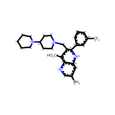 Bc1cnc2c(C(=O)O)c(CN3CCC(N4CCCCC4)CC3)c(-c3cccc(C(F)(F)F)c3)nc2c1